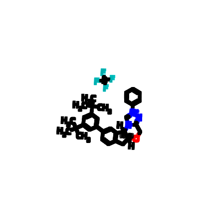 CC(C)(C)c1cc(-c2ccc3c(c2)[C@H]2[C@@H](C3)OCc3n[n+](-c4ccccc4)cn32)cc(C(C)(C)C)c1.F[B-](F)(F)F